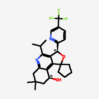 CC(C)c1nc2c(c3c1[C@@H](c1ccc(C(F)(F)F)cn1)OC31CCCC1)[C@@H](O)CC(C)(C)C2